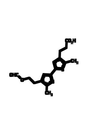 Cc1sc(-c2cc(CCC(=O)O)c(C)s2)cc1CCOC=O